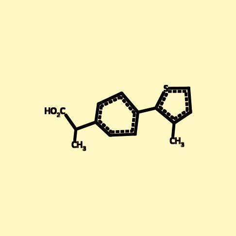 Cc1ccsc1-c1ccc(C(C)C(=O)O)cc1